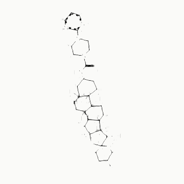 C[C@H]1CC[C@@]2(OC1)O[C@H]1C[C@H]3[C@@H]4CC[C@@H]5C[C@H](NC(=O)N6CCN(c7ncccn7)CC6)CC[C@]5(C)[C@H]4CC[C@]3(C)[C@H]1[C@@H]2C